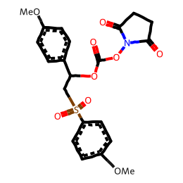 COc1ccc(C(CS(=O)(=O)c2ccc(OC)cc2)OC(=O)ON2C(=O)CCC2=O)cc1